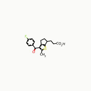 Cc1sc2c(c1C(=O)c1ccc(F)cc1)CCC2CCC(=O)O